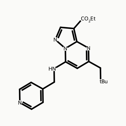 CCOC(=O)c1cnn2c(NCc3ccncc3)cc(CC(C)(C)C)nc12